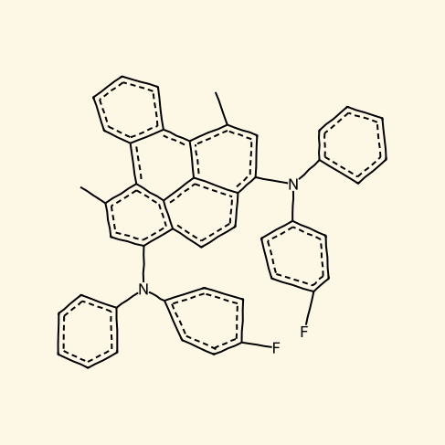 Cc1cc(N(c2ccccc2)c2ccc(F)cc2)c2ccc3c(N(c4ccccc4)c4ccc(F)cc4)cc(C)c4c5ccccc5c1c2c34